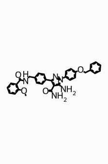 COc1ccccc1C(=O)NCc1ccc(-c2nn(-c3ccc(OCc4ccccc4)cc3)c(N)c2C(N)=O)cc1